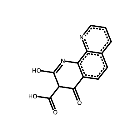 O=C(O)C1C(=O)c2ccc3cccnc3c2N=C1O